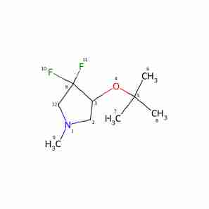 CN1CC(OC(C)(C)C)C(F)(F)C1